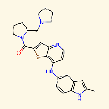 Cc1cc2cc(Nc3ccnc4cc(C(=O)N5CCC[C@H]5CN5CCCC5)sc34)ccc2[nH]1